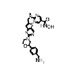 CN(Cc1cc2nc(N3CCOC(c4ccc(CN)cc4)C3)ncc2s1)c1ncc(C(=O)NO)cn1